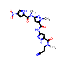 CN(CCC#N)C(=O)c1cc(NC(=O)c2cc(N(C)C(=O)c3cc([N+](=O)[O-])c[nH]3)nn2C)n[nH]1